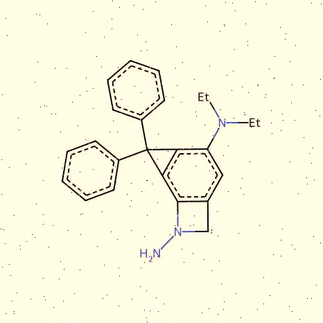 CCN(CC)c1cc2c(c3c1C3(c1ccccc1)c1ccccc1)N(N)[C]2